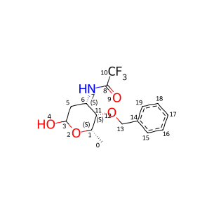 C[C@@H]1OC(O)C[C@H](NC(=O)C(F)(F)F)[C@@H]1OCc1ccccc1